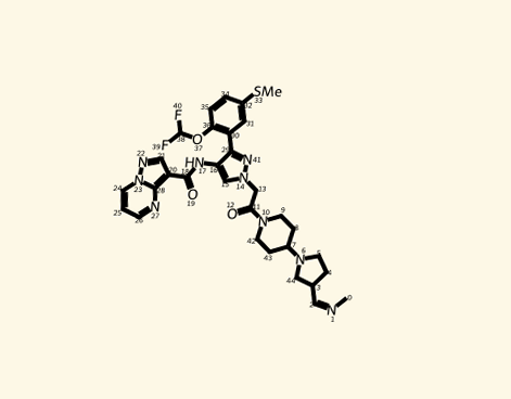 C/N=C\C1CCN(C2CCN(C(=O)Cn3cc(NC(=O)c4cnn5cccnc45)c(-c4cc(SC)ccc4OC(F)F)n3)CC2)C1